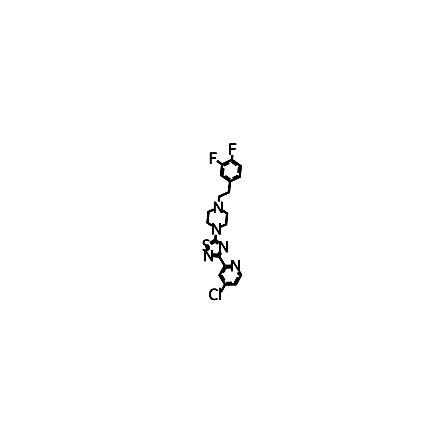 Fc1ccc(CCN2CCN(c3nc(-c4cc(Cl)ccn4)ns3)CC2)cc1F